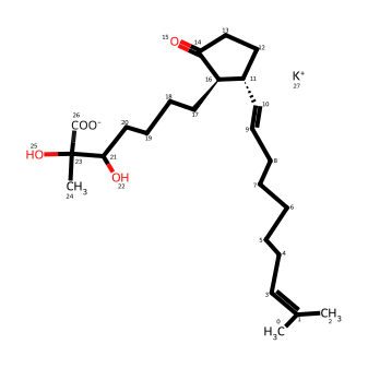 CC(C)=CCCCCC/C=C/[C@H]1CCC(=O)[C@@H]1CCCCC(O)C(C)(O)C(=O)[O-].[K+]